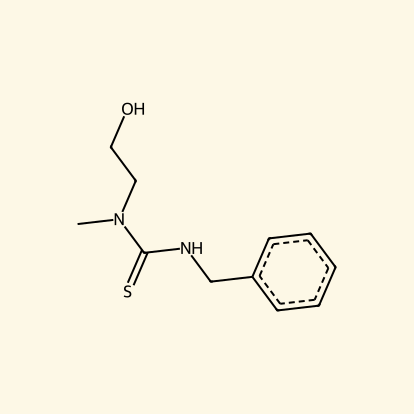 CN(CCO)C(=S)NCc1ccccc1